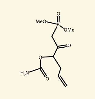 C=CCC(OC(N)=O)C(=O)CP(=O)(OC)OC